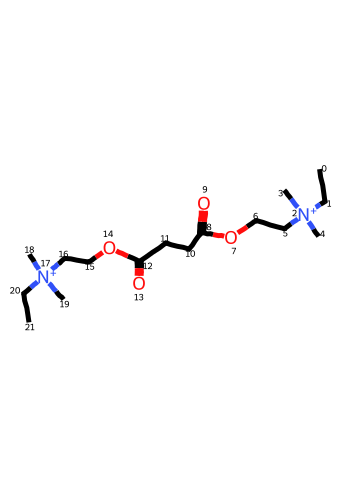 CC[N+](C)(C)CCOC(=O)CCC(=O)OCC[N+](C)(C)CC